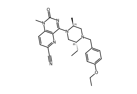 CCOc1ccc(CN2C[C@H](C)N(c3nc(=O)n(C)c4ccc(C#N)nc34)C[C@H]2CC)cc1